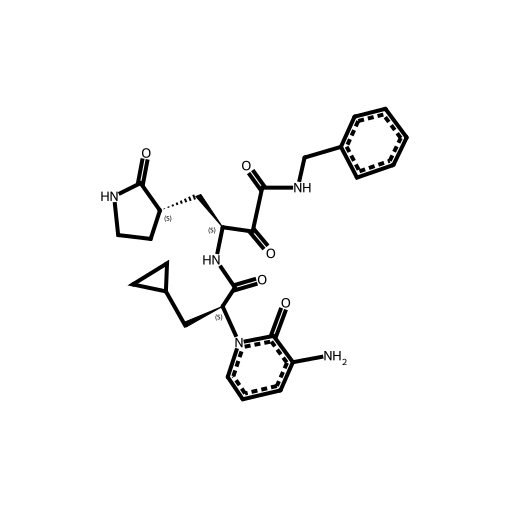 Nc1cccn([C@@H](CC2CC2)C(=O)N[C@@H](C[C@@H]2CCNC2=O)C(=O)C(=O)NCc2ccccc2)c1=O